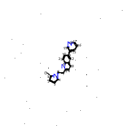 C[C@@H]1CCCN1CCc1ccc2cc(-c3cccnc3)ccc2n1